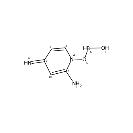 N=c1ccn(OBO)c(N)c1